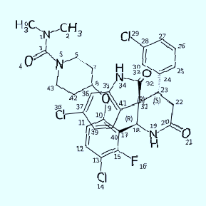 CN(C)C(=O)N1CCC(Oc2ccc(Cl)c(F)c2[C@@H]2NC(=O)C[C@@H](c3cccc(Cl)c3)[C@]23C(=O)Nc2cc(Cl)ccc23)CC1